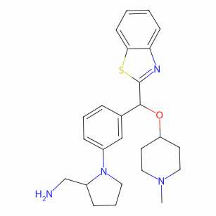 CN1CCC(OC(c2cccc(N3CCCC3CN)c2)c2nc3ccccc3s2)CC1